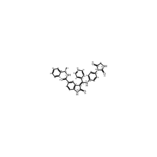 C[C@@H](NC(=O)c1ccc2c(c1)/C(=C(/Nc1ccc(N3C(=O)CNC3=O)cc1)c1ccncc1)C(=O)N2)c1ccccc1